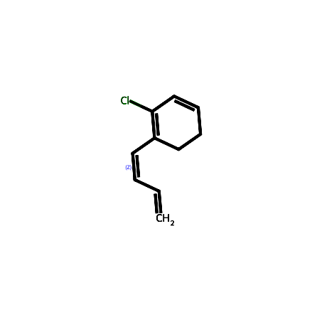 C=C/C=C\C1=C(Cl)C=CCC1